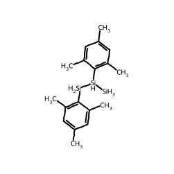 Cc1cc(C)c([SiH2][SiH]([SiH3])c2c(C)cc(C)cc2C)c(C)c1